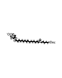 CCCCCCCCCCCCCCC[14C](=O)CCCCCCCCCCCCCCCC(=O)OC(CC(=O)[O-])C[N+](C)(C)C